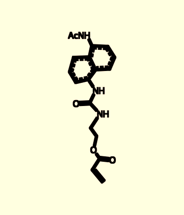 C=CC(=O)OCCNC(=O)Nc1cccc2c(NC(C)=O)cccc12